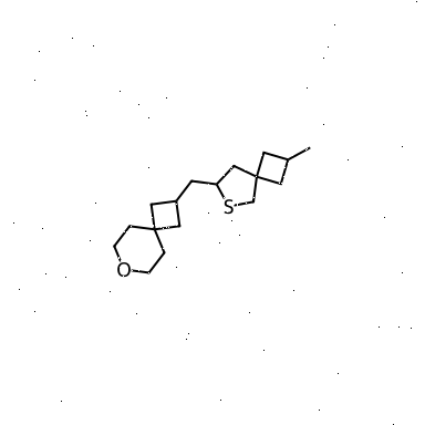 CC1CC2(CSC(CC3CC4(CCOCC4)C3)C2)C1